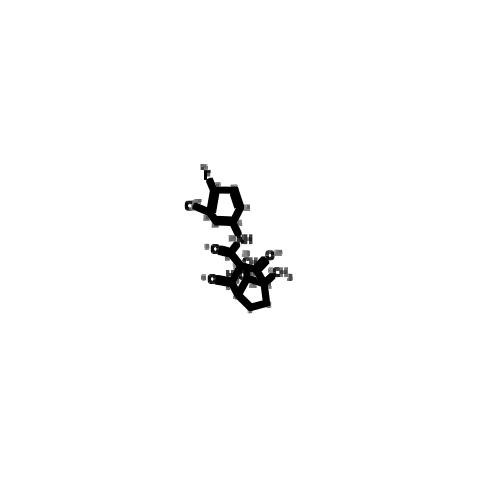 CC12CCC(C(=O)C(C(=O)Nc3ccc(F)c(Cl)c3)C1=O)C2(C)C